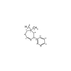 CC1(C)CCC=CC(c2ccccc2)C1